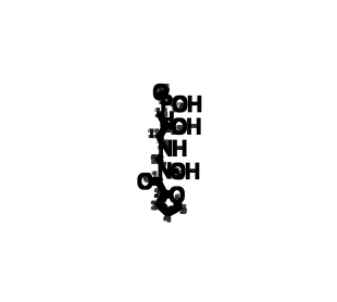 O=C(c1ccco1)N(O)CNCC(O)C[PH](=O)O